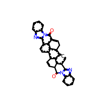 O=C1C2C=Cc3c4ccc5c6c(c(=O)n7c8ccccc8nc57)=CCc(c5ccc(c2c35)-c2nc3ccccc3n21)c46